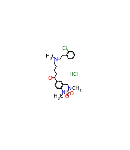 CN(CCCCC(=O)c1ccc2c(c1)CN(C)S(=O)(=O)N2C)CCc1ccccc1Cl.Cl